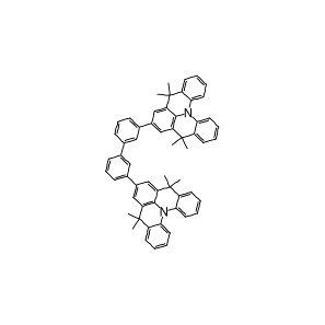 CC1(C)c2ccccc2N2c3ccccc3C(C)(C)c3cc(-c4cccc(-c5cccc(-c6cc7c8c(c6)C(C)(C)c6ccccc6N8c6ccccc6C7(C)C)c5)c4)cc1c32